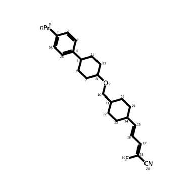 CCCc1ccc(C2CCC(OCC3CCC(C=CC=C(F)C#N)CC3)CC2)cc1